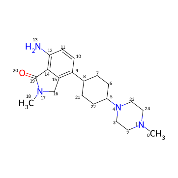 CN1CCN(C2CCC(c3ccc(N)c4c3CN(C)C4=O)CC2)CC1